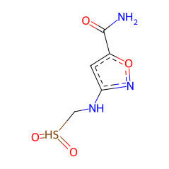 NC(=O)c1cc(NC[SH](=O)=O)no1